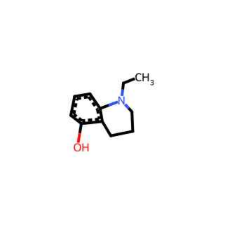 CCN1CCCc2c(O)cccc21